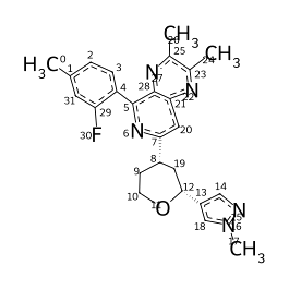 Cc1ccc(-c2nc([C@H]3CCO[C@@H](c4cnn(C)c4)C3)cc3nc(C)c(C)nc23)c(F)c1